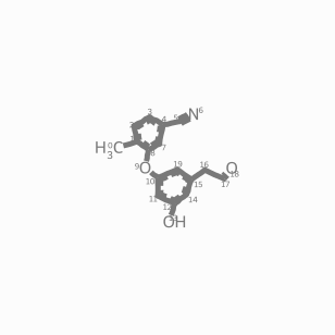 Cc1ccc(C#N)cc1Oc1cc(O)cc(CC=O)c1